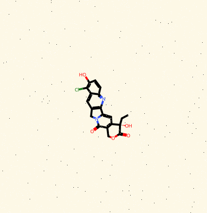 CC[C@@]1(O)C(=O)OCc2c1cc1n(c2=O)Cc2cc3c(Cl)c(O)ccc3nc2-1